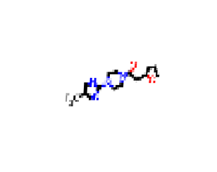 O=C(CC1CCCO1)N1CCN(c2ncc(C(F)(F)F)cn2)CC1